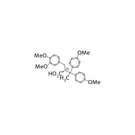 COc1ccc(C(C)(c2ccc(OC)cc2)[C@H](Cc2ccc(OC)c(OC)c2)C(=O)O)cc1